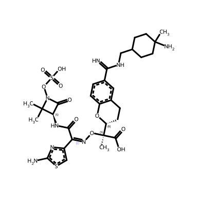 CC1(N)CCC(CNC(=N)c2ccc3c(c2)CC[C@H]([C@](C)(O/N=C(\C(=O)N[C@@H]2C(=O)N(OS(=O)(=O)O)C2(C)C)c2csc(N)n2)C(=O)O)O3)CC1